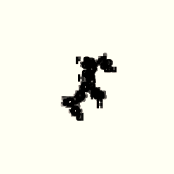 CN(CCNc1ccc(S(=O)(=O)NC(=O)c2ccc(N3CCN(CC4=C(c5ccc(Cl)cc5)CC(C)(C)CC4)CC3)cc2Oc2cnc3[nH]ccc3c2)cc1S(=O)(=O)C(F)(F)F)C(=O)OC(C)(C)C